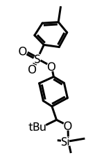 Cc1ccc(S(=O)(=O)Oc2ccc(C(O[Si](C)(C)C)C(C)(C)C)cc2)cc1